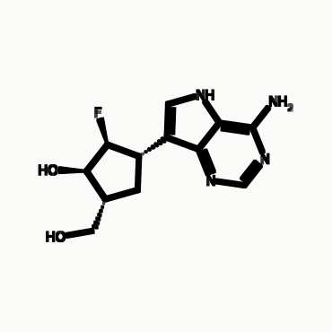 Nc1ncnc2c([C@@H]3C[C@H](CO)[C@@H](O)[C@H]3F)c[nH]c12